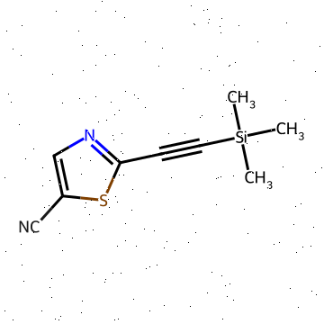 C[Si](C)(C)C#Cc1ncc(C#N)s1